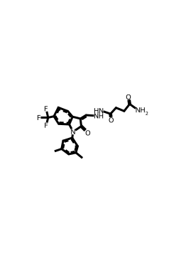 Cc1cc(C)cc(N2C(=O)/C(=C\NNC(=O)CCC(N)=O)c3ccc(C(F)(F)F)cc32)c1